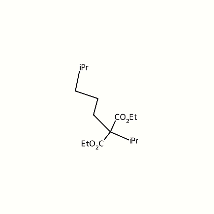 CCOC(=O)C(CCCC(C)C)(C(=O)OCC)C(C)C